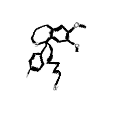 COc1cc2c(cc1OC)C(CCCCCBr)(c1ccc(F)cc1)SCCC2